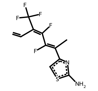 C=C/C(=C(F)\C(F)=C(/C)c1csc(N)n1)C(F)(F)F